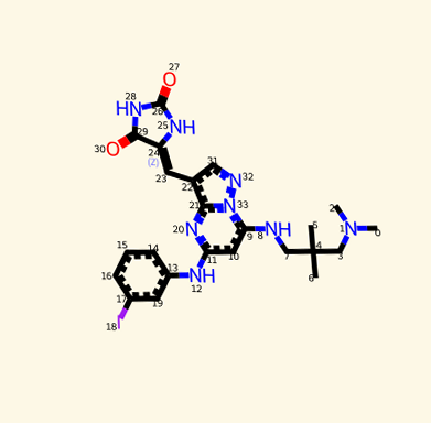 CN(C)CC(C)(C)CNc1cc(Nc2cccc(I)c2)nc2c(/C=C3\NC(=O)NC3=O)cnn12